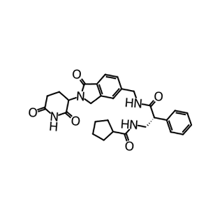 O=C1CCC(N2Cc3cc(CNC(=O)[C@@H](CNC(=O)C4CCCC4)c4ccccc4)ccc3C2=O)C(=O)N1